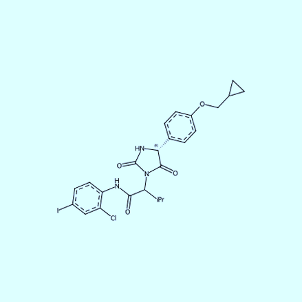 CC(C)C(C(=O)Nc1ccc(I)cc1Cl)N1C(=O)N[C@H](c2ccc(OCC3CC3)cc2)C1=O